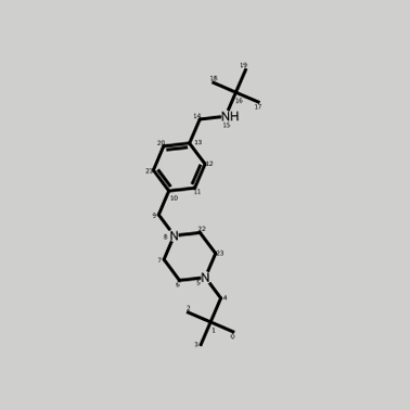 CC(C)(C)CN1CCN(Cc2ccc(CNC(C)(C)C)cc2)CC1